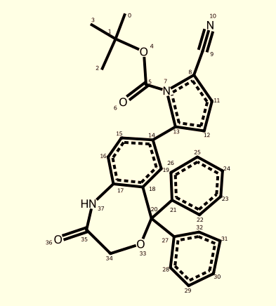 CC(C)(C)OC(=O)n1c(C#N)ccc1-c1ccc2c(c1)C(c1ccccc1)(c1ccccc1)OCC(=O)N2